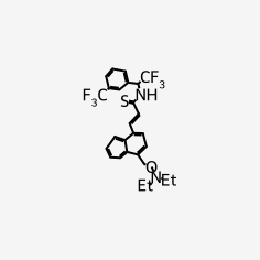 CCN(CC)OCc1ccc(/C=C/C(=S)NC(c2cccc(C(F)(F)F)c2)C(F)(F)F)c2ccccc12